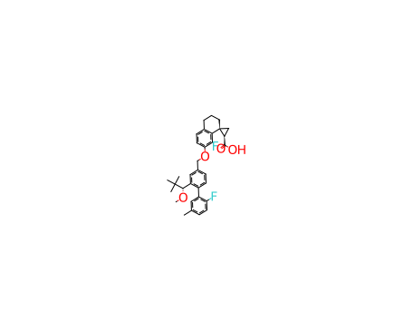 CO[C@@H](c1cc(COc2ccc3c(c2F)[C@]2(CCC3)C[C@H]2C(=O)O)ccc1-c1cc(C)ccc1F)C(C)(C)C